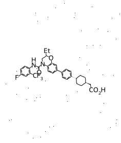 CCC1CN(C(=O)Nc2ccc(F)cc2C(F)(F)F)c2ccc(-c3ccc([C@H]4CC[C@H](CC(=O)O)CC4)cc3)cc2O1